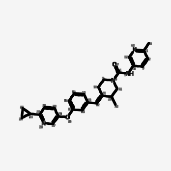 Cc1ccc(NC(=O)N2CC/C(=C\c3cccc(Oc4ccc(C5CC5)nc4)c3)C(C)C2)cn1